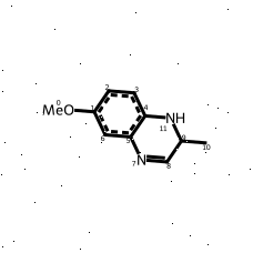 COc1ccc2c(c1)N=CC(C)N2